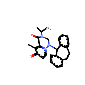 Cc1c2n(ccc1=O)N(C1c3ccccc3CCc3ccccc31)CN(C(C)C(F)(F)F)C2=O